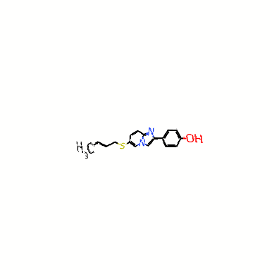 CCCCSc1ccc2nc(-c3ccc(O)cc3)cn2c1